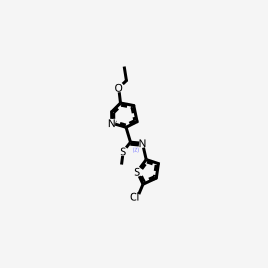 CCOc1ccc(/C(=N/c2ccc(Cl)s2)SC)nc1